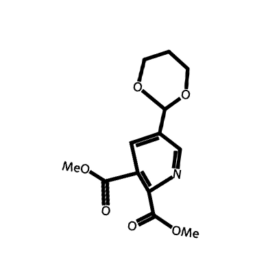 COC(=O)c1cc(C2OCCCO2)cnc1C(=O)OC